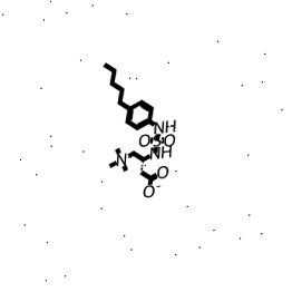 CCCCCc1ccc(NS(=O)(=O)N[C@H](CC(=O)[O-])C[N+](C)(C)C)cc1